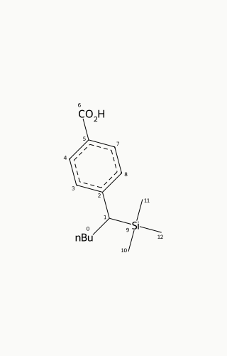 CCCCC(c1ccc(C(=O)O)cc1)[Si](C)(C)C